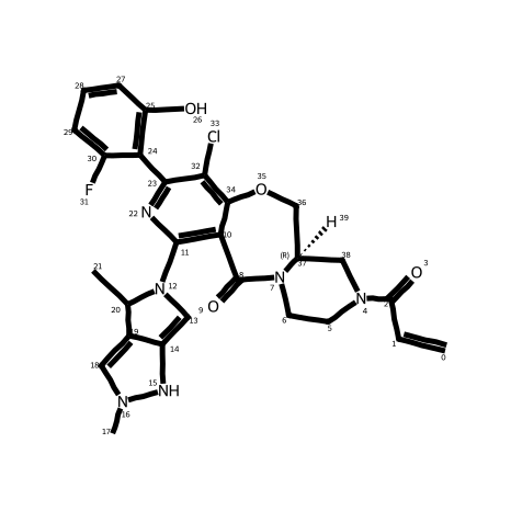 C=CC(=O)N1CCN2C(=O)c3c(N4C=C5NN(C)C=C5C4C)nc(-c4c(O)cccc4F)c(Cl)c3OC[C@H]2C1